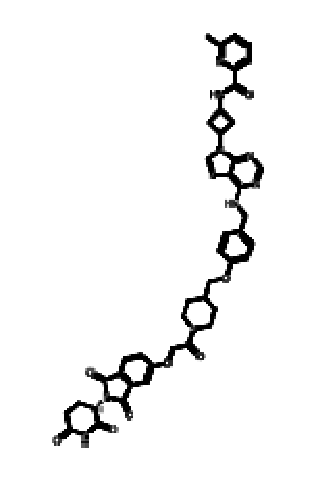 Cc1cccc(C(=O)NC2CC(n3cnc4c(NCc5ccc(OCC6CCN(C(=O)COc7ccc8c(c7)C(=O)N([C@H]7CCC(=O)NC7=O)C8=O)CC6)cc5)ncnc43)C2)n1